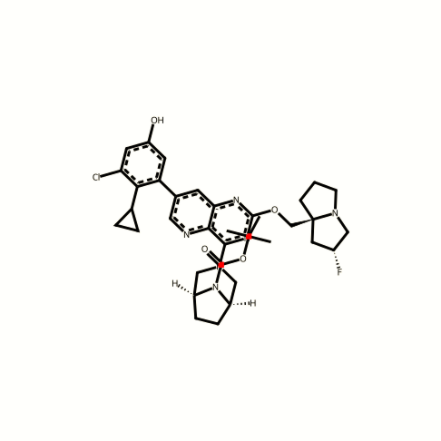 CC(C)(C)OC(=O)N1[C@@H]2CC[C@H]1CN(c1nc(OC[C@@]34CCCN3C[C@H](F)C4)nc3cc(-c4cc(O)cc(Cl)c4C4CC4)cnc13)C2